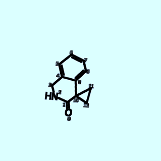 O=C1NCc2ccccc2C12CC2